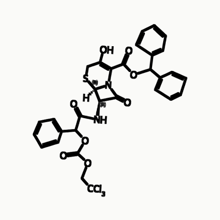 O=C(OCC(Cl)(Cl)Cl)OC(C(=O)N[C@@H]1C(=O)N2C(C(=O)OC(c3ccccc3)c3ccccc3)=C(O)CS[C@H]12)c1ccccc1